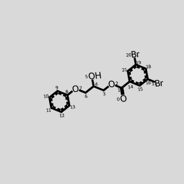 O=C(OCC(O)COc1ccccc1)c1cc(Br)cc(Br)c1